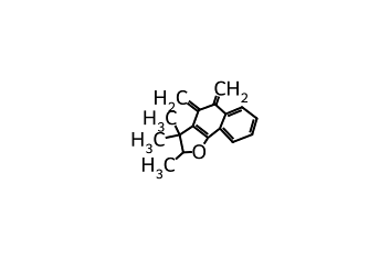 C=c1c2c(c3ccccc3c1=C)OC(C)C2(C)C